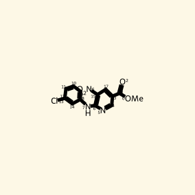 COC(=O)c1cnc(Nc2cccc(Cl)c2)c([N+](=O)[O-])c1